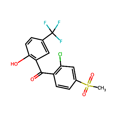 CS(=O)(=O)c1ccc(C(=O)c2cc(C(F)(F)F)ccc2O)c(Cl)c1